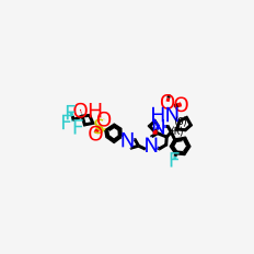 COC(=O)N[C@H]1CCC[C@@H]1C(CN1CCC1)(c1cccc(F)c1)C1CCN(CC2CN(c3ccc(S(=O)(=O)[C@H]4C[C@](O)(C(F)(F)F)C4)cc3)C2)CC1